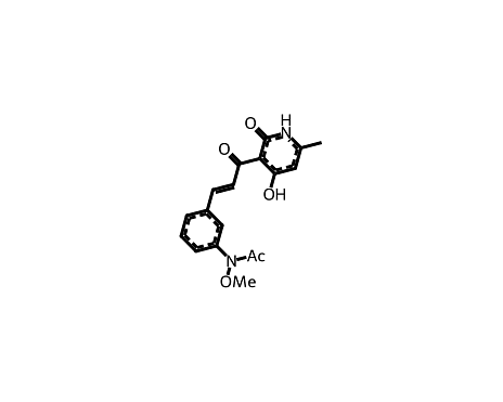 CON(C(C)=O)c1cccc(/C=C/C(=O)c2c(O)cc(C)[nH]c2=O)c1